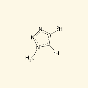 [2H]c1nnn(C)c1[2H]